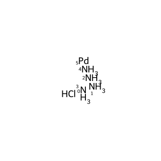 Cl.N.N.N.N.[Pd]